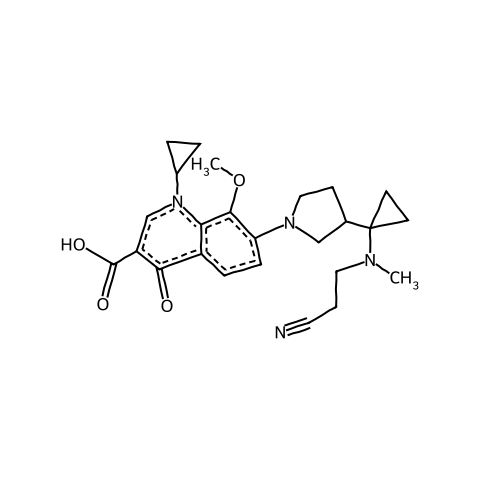 COc1c(N2CCC(C3(N(C)CCC#N)CC3)C2)ccc2c(=O)c(C(=O)O)cn(C3CC3)c12